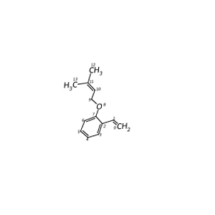 C=Cc1ccccc1OCC=C(C)C